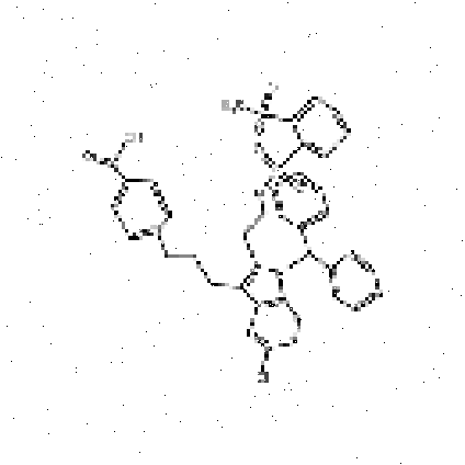 CS(=O)(=O)c1ccccc1S(=O)(=O)NCCc1c(CCCc2ccc(C(=O)O)cc2)c2cc(Cl)ccc2n1C(c1ccccc1)c1ccccc1